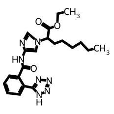 CCCCCCC(C(=O)OCC)n1cnc(NC(=O)c2ccccc2-c2nnn[nH]2)c1